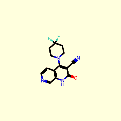 N#Cc1c(N2CCC(F)(F)CC2)c2ccncc2[nH]c1=O